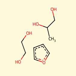 CC(O)CO.OCCO.c1ccoc1